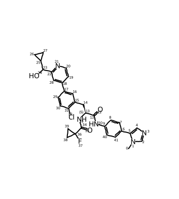 Cn1cncc1-c1ccc(NC(=O)[C@H](Cc2cc(-c3ccnc(C(O)C4CC4)c3)ccc2Cl)NC(=O)C2(F)CC2)cc1